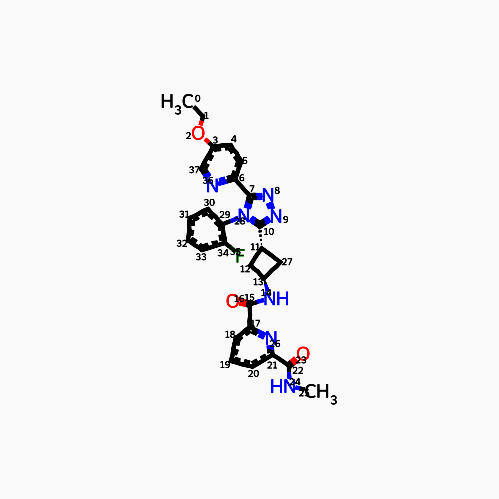 CCOc1ccc(-c2nnc([C@H]3C[C@H](NC(=O)c4cccc(C(=O)NC)n4)C3)n2-c2ccccc2F)nc1